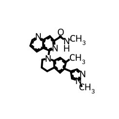 CNC(=O)c1cc2ncccc2c(N2CCCc3cc(-c4cnn(C)c4)c(C)cc32)n1